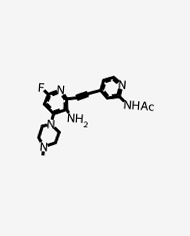 CC(=O)Nc1cc(C#Cc2nc(F)cc(N3CCN(C)CC3)c2N)ccn1